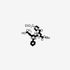 CCOC(=O)N1CCN(C(=O)C(CCC(=O)OC(C)(C)C)NC(=O)c2cc(C#CC(C)O)nc(-c3ccccc3)n2)CC1